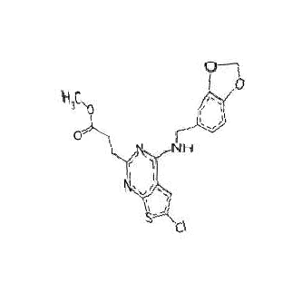 COC(=O)CCc1nc(NCc2ccc3c(c2)OCO3)c2cc(Cl)sc2n1